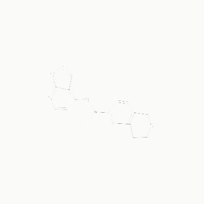 O=C(Nc1ccnc2[nH]ccc12)c1ccc2c(c1)CCNC2